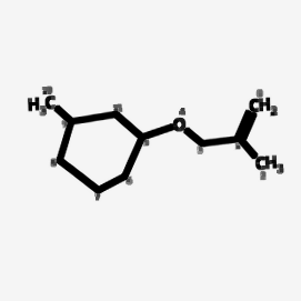 C=C(C)COC1CCCC(C)C1